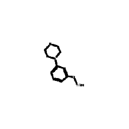 CCCCCCOc1cccc(N2CC[N]CC2)c1